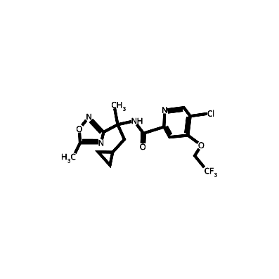 Cc1nc(C(C)(CC2CC2)NC(=O)c2cc(OCC(F)(F)F)c(Cl)cn2)no1